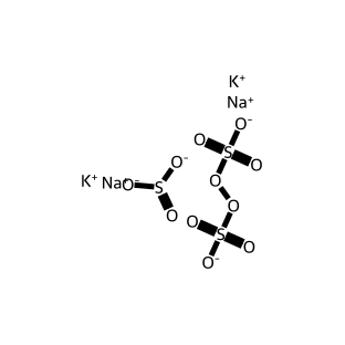 O=S(=O)([O-])OOS(=O)(=O)[O-].O=S([O-])[O-].[K+].[K+].[Na+].[Na+]